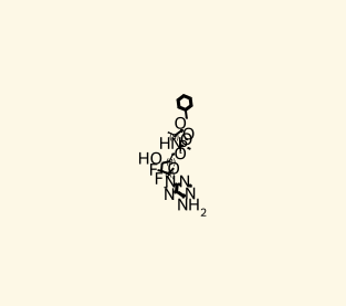 C[C@H](NP(C)(=O)OC[C@H]1O[C@@H](n2cnc3c(N)ncnc32)C(F)(F)C1O)C(=O)OCc1ccccc1